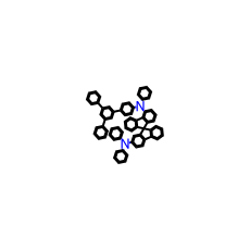 c1ccc(-c2cc(-c3ccccc3)cc(-c3ccc(N(c4ccccc4)c4cccc5c4-c4ccccc4C54c5ccccc5-c5ccc(N(c6ccccc6)c6ccccc6)cc54)cc3)c2)cc1